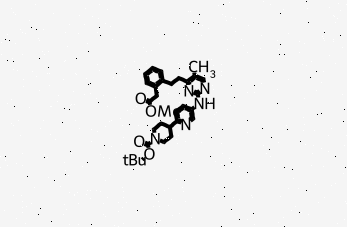 COC(=O)Cc1ccccc1CCc1nc(Nc2ccc(C3CCN(C(=O)OC(C)(C)C)CC3)nc2)ncc1C